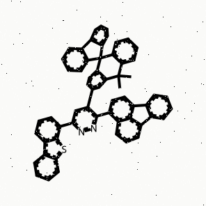 CC1(C)c2ccccc2C2(c3ccccc3-c3ccccc32)c2ccc(-c3cc(-c4cccc5c4sc4ccccc45)nnc3-c3ccc4c5c(cccc35)-c3ccccc3-4)cc21